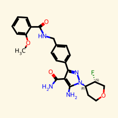 COc1ccccc1C(=O)NCc1ccc(-c2nn([C@@H]3CCOC[C@H]3F)c(N)c2C(N)=O)cc1